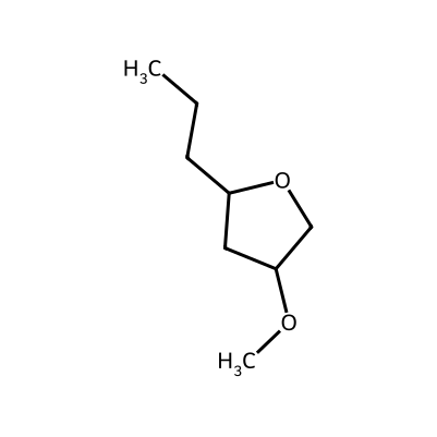 CCCC1CC(OC)CO1